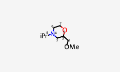 COCC1CN(C(C)C)CCO1